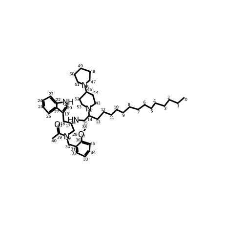 CCCCCCCCCCCCCCC(CNC(Cc1c[nH]c2ccccc12)CN(Cc1ccccc1OC)C(C)=O)N1CCC(N2CCCCC2)CC1